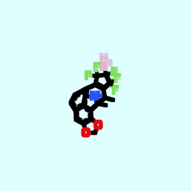 BC1(F)C(F)(F)C2=C(C(C)C3(C)Nc4c2ccc2cc5c(c3c42)OCO5)C1(F)F